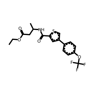 CCOC(=O)CC(C)NC(=O)c1cc(-c2ccc(OC(F)(F)F)cc2)cs1